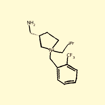 CC(C)C[N+]1(Cc2ccccc2C(F)(F)F)CC[C@@H](CN)C1